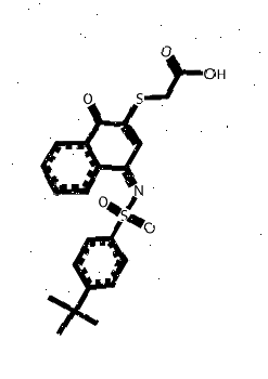 CC(C)(C)c1ccc(S(=O)(=O)/N=C2/C=C(SCC(=O)O)C(=O)c3ccccc32)cc1